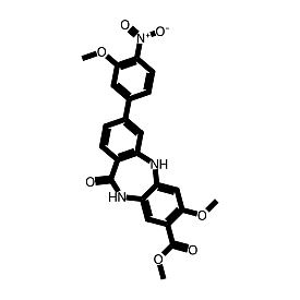 COC(=O)c1cc2c(cc1OC)Nc1cc(-c3ccc([N+](=O)[O-])c(OC)c3)ccc1C(=O)N2